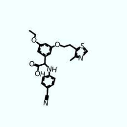 CCOc1cc(OCCc2scnc2C)cc(C(Nc2ccc(C#N)cc2)C(=O)O)c1